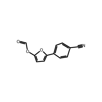 N#Cc1ccc(-c2ccc(OC=O)o2)cc1